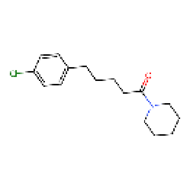 O=C(CCCCc1ccc(Cl)cc1)N1CCCCC1